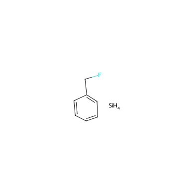 FCc1ccccc1.[SiH4]